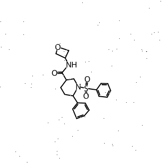 O=C(NC1COC1)C1CCC(c2ccccc2)N(S(=O)(=O)c2ccccc2)C1